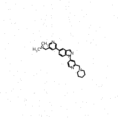 CN(C)Cc1cncc(-c2ccc3c(cnn3-c3ccnc(CN4CCCCC4)c3)c2)c1